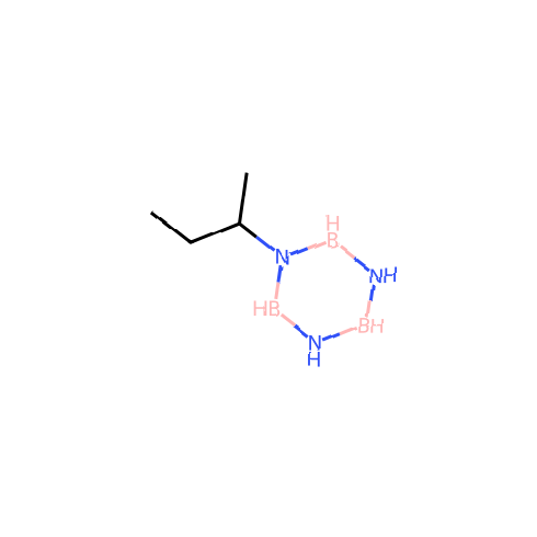 CCC(C)N1BNBNB1